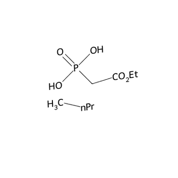 CCCC.CCOC(=O)CP(=O)(O)O